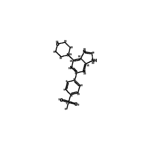 CS(=O)(=O)c1ccc(-c2nc(N3CCOCC3)c3nc[nH]c3n2)cc1